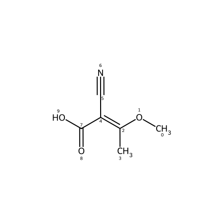 CO/C(C)=C(\C#N)C(=O)O